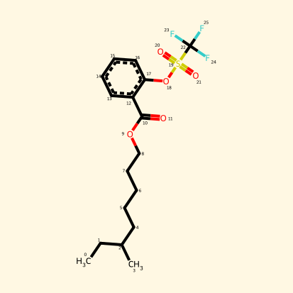 CCC(C)CCCCCOC(=O)c1ccccc1OS(=O)(=O)C(F)(F)F